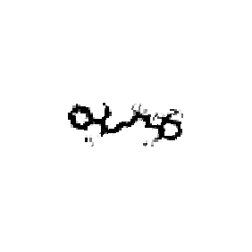 CC(C=CC1=C(C)CCCC1(C)C)=CC=CC(C)=C(C=S)c1ccccc1